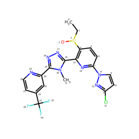 CC[S+]([O-])c1ccc(-n2ccc(Cl)n2)nc1-c1nnc(-c2cc(C(F)(F)F)ccn2)n1C